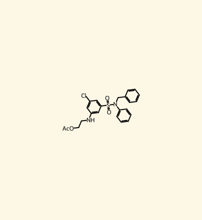 CC(=O)OCCNc1cc(Cl)cc(S(=O)(=O)N(Cc2ccccc2)c2ccccc2)c1